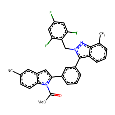 COC(=O)n1c(-c2cccc(-c3c4cccc(C(F)(F)F)c4nn3Cc3c(F)cc(F)cc3F)c2)cc2cc(C#N)ccc21